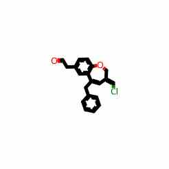 O=CCc1ccc2c(c1)C(Cc1ccccc1)=CC(=CCl)CO2